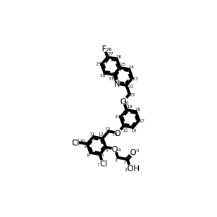 O=C(O)COc1c(Cl)cc(Cl)cc1COc1cccc(OCc2ccc3cc(F)ccc3n2)c1